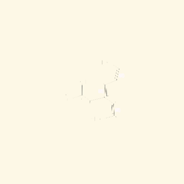 C\C=C/C=C(\C=C/C)CC(C)C